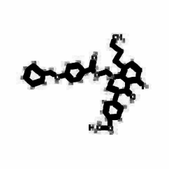 CCCCc1ccc(F)c2c(=O)c(-c3ccc(OC)cc3)cn(COC(=O)c3ccc(OCc4ccccc4)cc3)c12